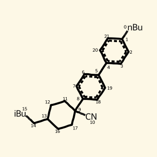 CCCCc1ccc(-c2ccc(C3(C#N)CCC(CC(C)CC)CC3)cc2)cc1